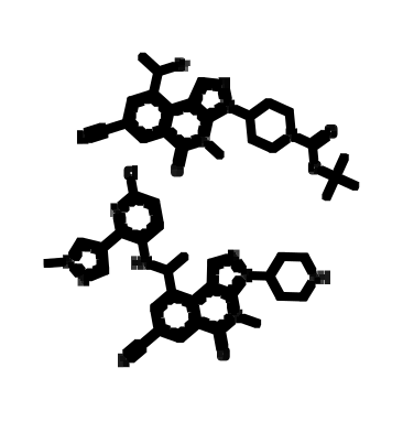 CC(Br)c1cc(C#N)cc2c(=O)n(C)c3c(cnn3C3CCN(C(=O)OC(C)(C)C)CC3)c12.CC(Nc1ccc(Cl)nc1-c1cnn(C)c1)c1cc(C#N)cc2c(=O)n(C)c3c(cnn3C3CCNCC3)c12